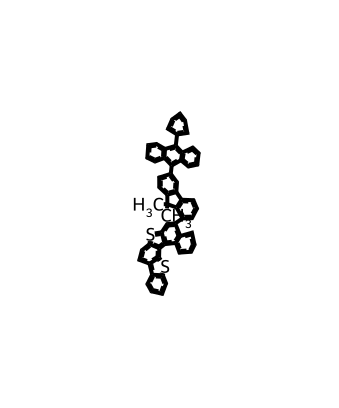 CC1(C)c2ccc(-c3c4ccccc4c(-c4ccccc4)c4ccccc34)cc2-c2cccc(-c3cc4sc5ccc6c7ccccc7sc6c5c4c4ccccc34)c21